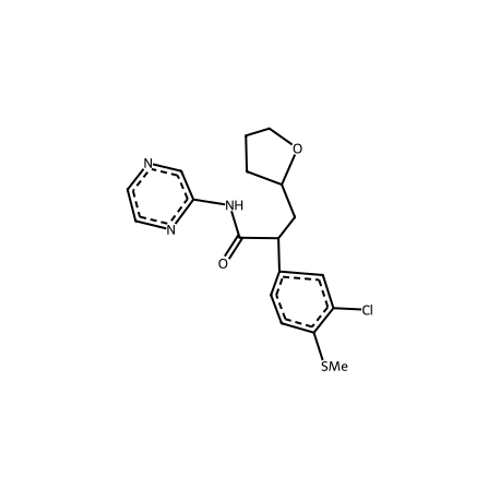 CSc1ccc(C(CC2CCCO2)C(=O)Nc2cnccn2)cc1Cl